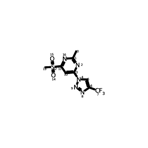 Cc1nc(-n2cc(C(F)(F)F)nn2)cc(S(C)(=O)=O)n1